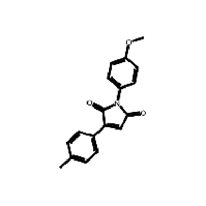 COc1ccc(N2C(=O)C=C(c3ccc(C)cc3)C2=O)cc1